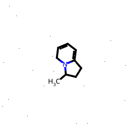 CC1CCC2=CC=CCN21